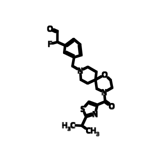 CC(C)c1nc(C(=O)N2CCOC3(CCN(Cc4cccc(C(F)C=O)c4)CC3)C2)cs1